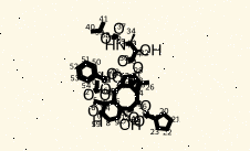 CC(=O)O[C@@]12CO[C@@H]1CC(O)[C@@]1(C)C(=O)C(OC(=O)C3CCCC3)C3=C(C)[C@@H](OC(=O)[C@H](O)[C@H](C)NC(=O)OC(C)C)C[C@@](O)([C@@H](OC(=O)c4ccccc4)C12)C3(C)C